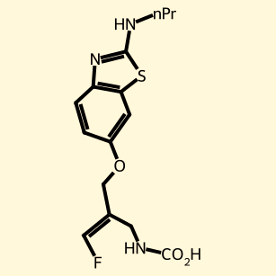 CCCNc1nc2ccc(OCC(=CF)CNC(=O)O)cc2s1